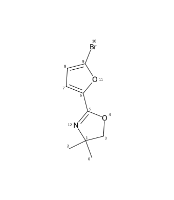 CC1(C)COC(c2ccc(Br)o2)=N1